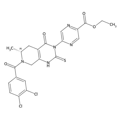 CCOC(=O)c1cnc(-n2c(=S)[nH]c3c(c2=O)C[C@@H](C)N(C(=O)c2ccc(Cl)c(Cl)c2)C3)cn1